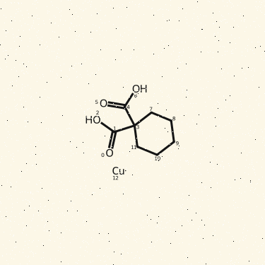 O=C(O)C1(C(=O)O)CCCCC1.[Cu]